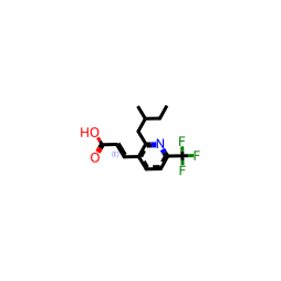 CCC(C)Cc1nc(C(F)(F)F)ccc1/C=C/C(=O)O